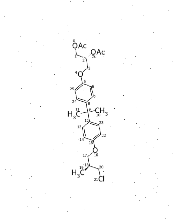 CC(=O)OC[C@@H](COc1ccc(C(C)(C)c2ccc(OC[C@H](C)CCl)cc2)cc1)OC(C)=O